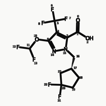 O=C(O)c1c(C(F)(F)F)c(OC(F)F)nn1C[C@@H]1CCC(F)(F)C1